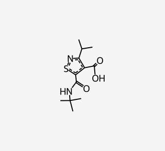 CC(C)c1nsc(C(=O)NC(C)(C)C)c1C(=O)O